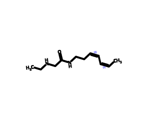 C/C=C\C=C/CCNC(=O)CNCC